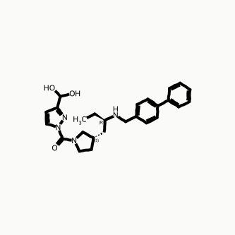 CC[C@H](C[C@@H]1CCN(C(=O)n2ccc(C(O)O)n2)C1)NCc1ccc(-c2ccccc2)cc1